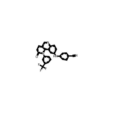 N#Cc1ccc(Nc2ccc3ncc4ccc(=O)n(-c5cccc(C(F)(F)F)c5)c4c3c2)cc1